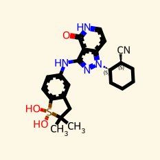 CC1(C)Cc2cc(Nc3nn([C@H]4CCCC[C@@H]4C#N)c4cc[nH]c(=O)c34)ccc2S1(O)O